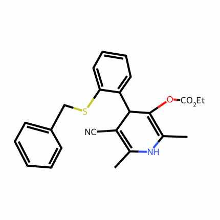 CCOC(=O)OC1=C(C)NC(C)=C(C#N)C1c1ccccc1SCc1ccccc1